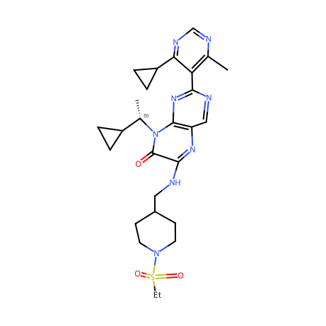 CCS(=O)(=O)N1CCC(CNc2nc3cnc(-c4c(C)ncnc4C4CC4)nc3n([C@@H](C)C3CC3)c2=O)CC1